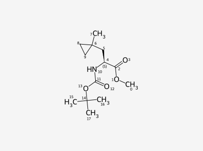 COC(=O)[C@H](CC1(C)CC1)NC(=O)OC(C)(C)C